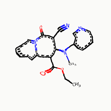 CCOC(=O)c1c(N(C)c2cccnc2)c(C#N)c(=O)n2ccccc12